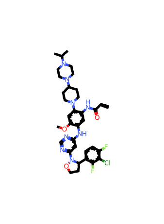 C=CC(=O)Nc1cc(Nc2cc(N3OCCC3c3ccc(F)c(Cl)c3F)ncn2)c(OC)cc1N1CCC(N2CCN(C(C)C)CC2)CC1